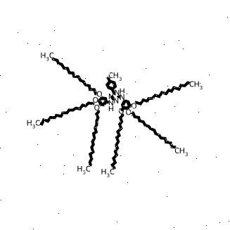 CCCCCCCCCCCCCCCCCCOc1cc(Nc2nc(Nc3cc(OCCCCCCCCCCCCCCCCCC)c(OCCCCCCCCCCCCCCCCCC)c(OCCCCCCCCCCCCCCCCCC)c3)nc(-c3ccc(CC)cc3)n2)cc(OCCCCCCCCCCCCCCCCCC)c1OCCCCCCCCCCCCCCCCCC